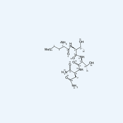 CSCC[C@H](N)C(=O)N[C@H](C(=O)N[C@H](C(=O)N[C@@H](CC(N)=O)C(N)=O)[C@@H](C)O)[C@@H](C)O